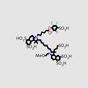 COCC[N+]1=C(/C=C/C=C/C=C/C=C2/N(CCCCCC(=O)Oc3c(F)c(F)c(S(=O)(=O)O)c(F)c3F)c3ccc4c(S(=O)(=O)O)cc(S(=O)(=O)O)cc4c3C2(C)C)C(C)(CCCS(=O)(=O)O)c2c1ccc1c(S(=O)(=O)O)cc(S(=O)(=O)O)cc21